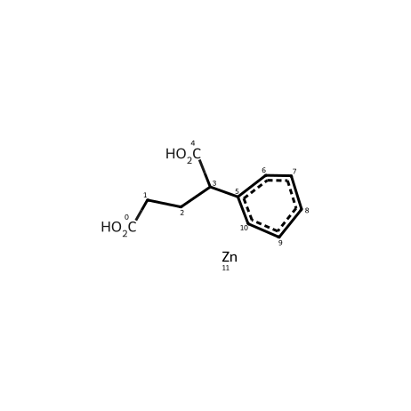 O=C(O)CCC(C(=O)O)c1ccccc1.[Zn]